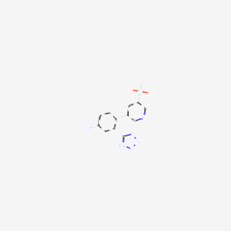 CS(=O)(=O)c1cncc(-c2ccc(N)cc2-c2nnn[nH]2)c1